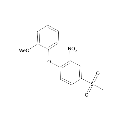 COc1ccccc1Oc1ccc(S(C)(=O)=O)cc1[N+](=O)[O-]